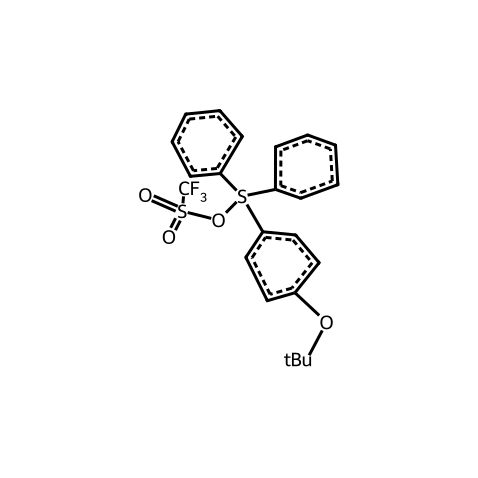 CC(C)(C)Oc1ccc(S(OS(=O)(=O)C(F)(F)F)(c2ccccc2)c2ccccc2)cc1